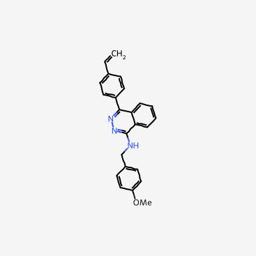 C=Cc1ccc(-c2nnc(NCc3ccc(OC)cc3)c3ccccc23)cc1